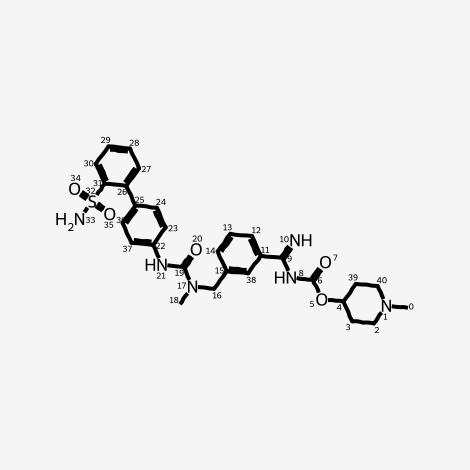 CN1CCC(OC(=O)NC(=N)c2cccc(CN(C)C(=O)Nc3ccc(-c4ccccc4S(N)(=O)=O)cc3)c2)CC1